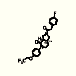 C[C@]12CCN(c3ccc(OCC(F)(F)F)cc3)C(=O)[C@H]1CN(C(=O)Cc1ccc(F)cc1)C2